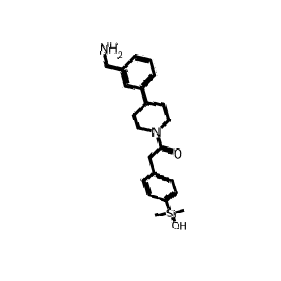 C[Si](C)(O)c1ccc(CC(=O)N2CCC(c3cccc(CN)c3)CC2)cc1